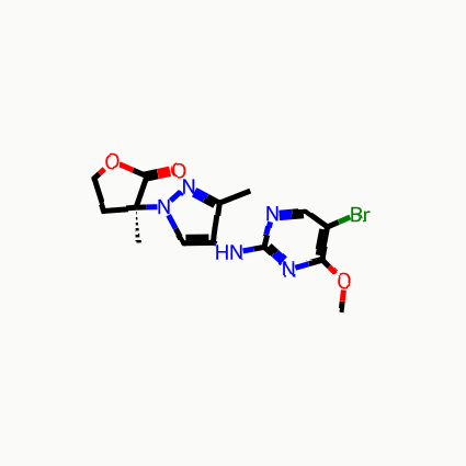 COc1nc(Nc2cn([C@@]3(C)CCOC3=O)nc2C)ncc1Br